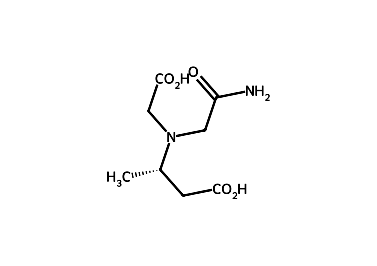 C[C@@H](CC(=O)O)N(CC(N)=O)CC(=O)O